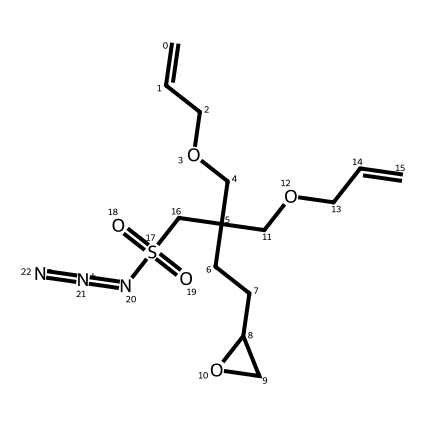 C=CCOCC(CCC1CO1)(COCC=C)CS(=O)(=O)N=[N+]=[N-]